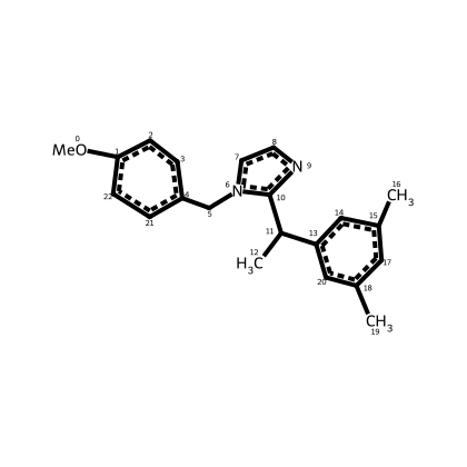 COc1ccc(Cn2ccnc2C(C)c2cc(C)cc(C)c2)cc1